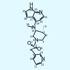 C[C@@H]1CCN(S(=O)(=O)Cc2cccnc2)C[C@@H]1N(C)c1ccnc2[nH]ccc12